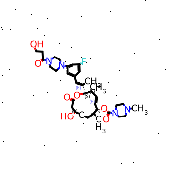 C/C(=C\c1cc(F)cc(N2CCN(C(=O)CCO)CC2)c1)[C@H]1OC(=O)C[C@H](O)CC[C@H](C)[C@@H](OC(=O)N2CCN(C)CC2)/C=C/[C@@H]1C